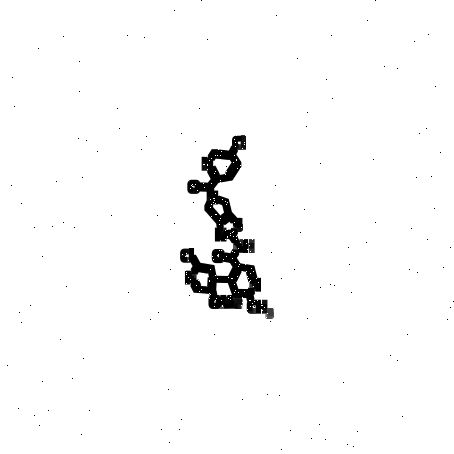 COc1cnc(Cl)cc1-c1cc(C)ncc1C(=O)Nc1nc2c(s1)CN(C(=O)c1ccc(Cl)cn1)C2